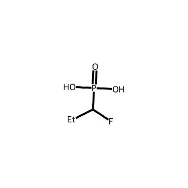 CCC(F)P(=O)(O)O